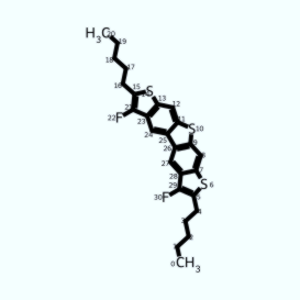 CCCCCc1sc2cc3sc4cc5sc(CCCCC)c(F)c5cc4c3cc2c1F